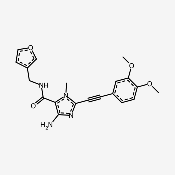 COc1ccc(C#Cc2nc(N)c(C(=O)NCc3ccoc3)n2C)cc1OC